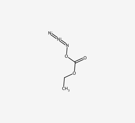 CCOC(=O)ON=[N+]=[N-]